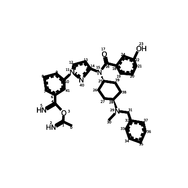 CC(=N)OC(=N)c1cccc(-n2ccc(N(C(=O)c3cccc(O)c3)[C@H]3CC[C@H](N(C)Cc4ccccc4)CC3)n2)c1